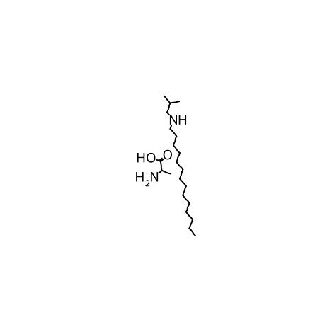 CC(N)C(=O)O.CCCCCCCCCCCCCCNCC(C)C